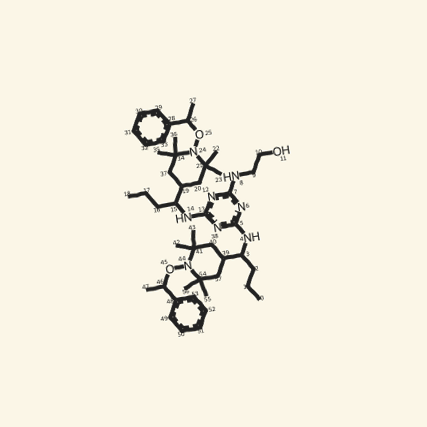 CCCC(Nc1nc(NCCO)nc(NC(CCC)C2CC(C)(C)N(OC(C)c3ccccc3)C(C)(C)C2)n1)C1CC(C)(C)N(OC(C)c2ccccc2)C(C)(C)C1